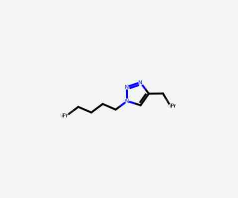 CC(C)CCCCn1cc(CC(C)C)nn1